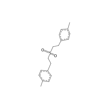 Cc1ccc(CCS(=O)(=O)CCc2ccc(C)cc2)cc1